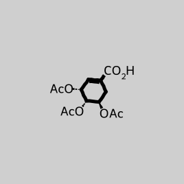 CC(=O)O[C@@H]1[C@H](OC(C)=O)C=C(C(=O)O)C[C@H]1OC(C)=O